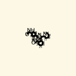 NC(=O)c1ccc(-c2nc(-c3ccccn3)cn2C2(c3ccccc3)COCO2)cc1